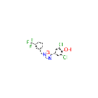 Oc1c(Cl)cc(C2=NCN(Cc3cccc(C(F)(F)F)c3)O2)cc1Cl